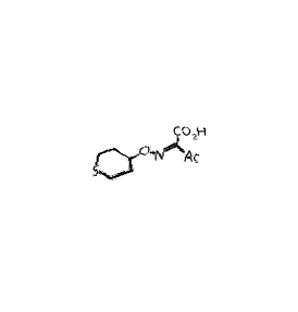 CC(=O)/C(=N/OC1CCSCC1)C(=O)O